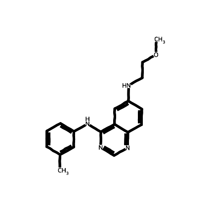 COCCNc1ccc2ncnc(Nc3cccc(C)c3)c2c1